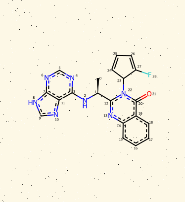 C[C@H](Nc1ncnc2[nH]cnc12)c1nc2ccccc2c(=O)n1C1C=CC=C1F